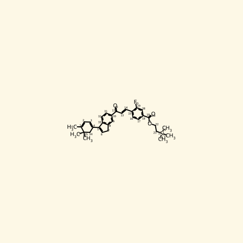 CC1=CC=C(C2=CCc3cc(C(=O)/C=C/c4ccc(C(=O)OCC[Si](C)(C)C)cc4F)ccc32)CC1(C)C